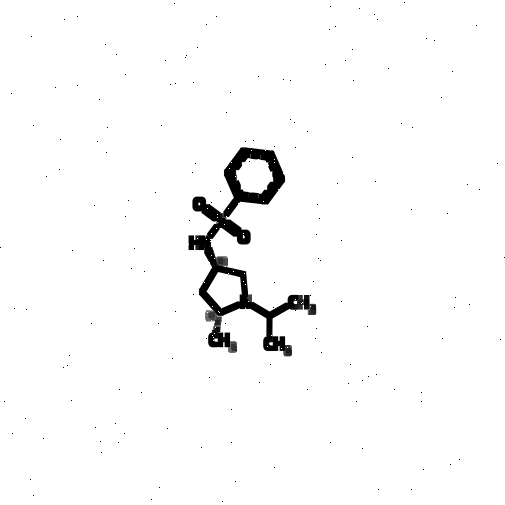 CC(C)N1C[C@H](NS(=O)(=O)c2ccccc2)C[C@H]1C